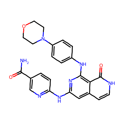 NC(=O)c1ccc(Nc2cc3cc[nH]c(=O)c3c(Nc3ccc(N4CCOCC4)cc3)n2)nc1